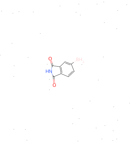 Bc1ccc2c(c1)C(=O)NC2=O